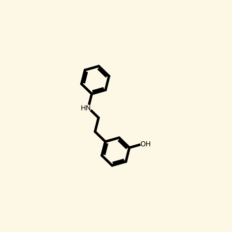 Oc1cccc(CCNc2ccccc2)c1